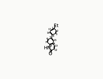 CCc1ccc(-c2ccc3[nH]c(=O)ccc3c2)cc1